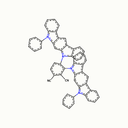 N#Cc1ccc(-n2c3ccccc3c3cc4c5ccccc5n(-c5ccccc5)c4cc32)c(-n2c3ccccc3c3cc4c5ccccc5n(-c5ccccc5)c4cc32)c1C#N